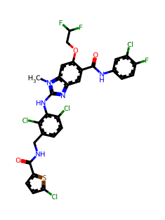 Cn1c(Nc2c(Cl)ccc(CNC(=O)c3ccc(Cl)s3)c2Cl)nc2cc(C(=O)Nc3ccc(F)c(Cl)c3)c(OCC(F)F)cc21